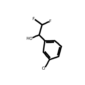 OC(c1cccc(Cl)c1)C(F)F